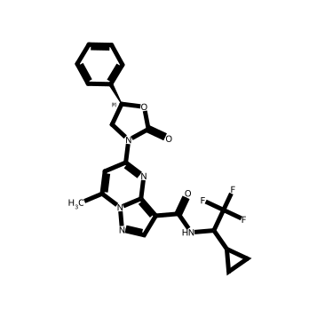 Cc1cc(N2C[C@@H](c3ccccc3)OC2=O)nc2c(C(=O)NC(C3CC3)C(F)(F)F)cnn12